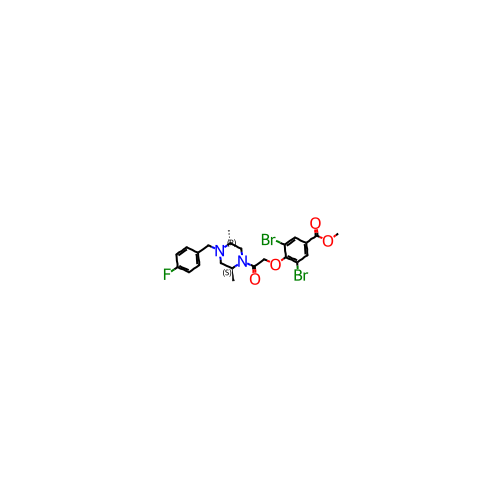 COC(=O)c1cc(Br)c(OCC(=O)N2C[C@@H](C)N(Cc3ccc(F)cc3)C[C@@H]2C)c(Br)c1